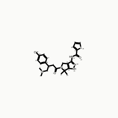 CN(C)CC(CC(=O)N1Cc2c(NC(=O)c3cccs3)n[nH]c2C1(C)C)c1ccc(Cl)cc1